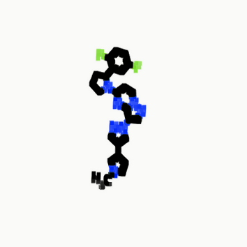 Cn1ccc(-c2cnn(-c3cnn4ccc(N5CCCC5c5cc(F)ccc5F)nc34)c2)c1